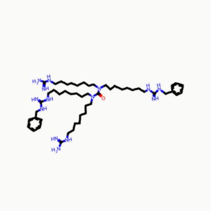 N=C(N)NCCCCCCCCN(CCCCCCCCNC(=N)NCc1ccccc1)C(=O)N(CCCCCCCCNC(=N)N)CCCCCCCCNC(=N)NCc1ccccc1